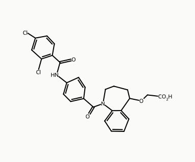 O=C(O)COC1CCCN(C(=O)c2ccc(NC(=O)c3ccc(Cl)cc3Cl)cc2)c2ccccc21